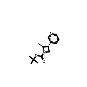 C[C@H]1[C@H](c2cccnc2)CN1C(=O)OC(C)(C)C